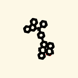 c1ccc(N(c2ccc(-c3ccc4c(c3)Sc3ccccc3[Si]43c4ccccc4Sc4ccccc43)cc2)c2cc3ccccc3c3ccccc23)cc1